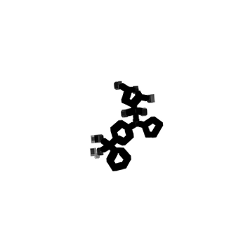 O=S(=O)(c1cc(Cl)sc1Cl)N(c1ccc(C(O)(c2ccccc2)C(F)(F)F)cc1)C1CCCC1